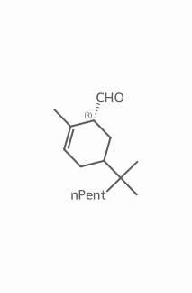 CCCCCC(C)(C)C1CC=C(C)[C@H](C=O)C1